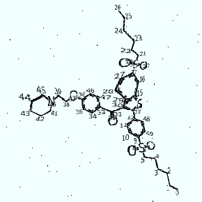 CCCCCCS(=O)(=O)c1ccc(-c2sc3cc(S(=O)(=O)CCCCCC)ccc3c2C(=O)c2ccc(OCCN3CCCCC3)cc2)cc1